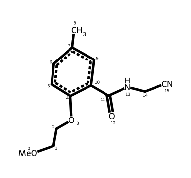 COCCOc1ccc(C)cc1C(=O)NCC#N